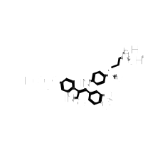 CCOC(=O)c1ccc2c(c1)NC(=O)C2=C(Nc1ccc(N(CCCN(C)C)C(C)=O)cc1)c1ccc2c(c1)OCO2